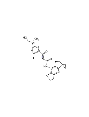 C[C@@H](CO)c1cc(F)c(/[SH](=O)=N/C(=O)Nc2c3c(nc4c2CCC42CC2)CCC3)s1